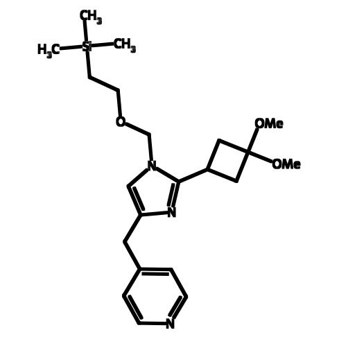 COC1(OC)CC(c2nc(Cc3ccncc3)cn2COCC[Si](C)(C)C)C1